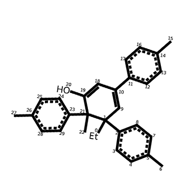 CCC1(c2ccc(C)cc2)C=C(c2ccc(C)cc2)C=C(O)C1(C)c1ccc(C)cc1